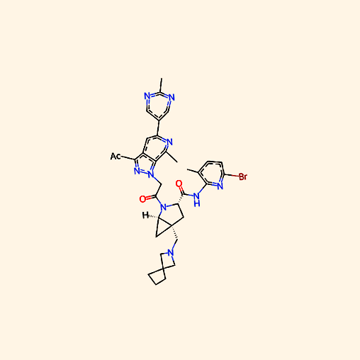 CC(=O)c1nn(CC(=O)N2[C@H](C(=O)Nc3nc(Br)ccc3C)C[C@@]3(CN4CC5(CCC5)C4)C[C@@H]23)c2c(C)nc(-c3cnc(C)nc3)cc12